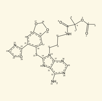 CC(=O)OC(C)(C)C(=O)NCCCn1c(Sc2cc3c(cc2-c2ncco2)OCO3)nc2c(N)ncnc21